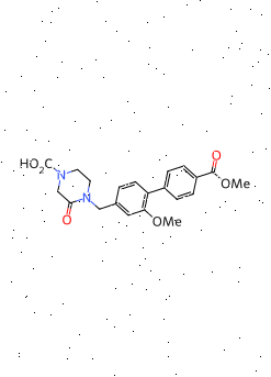 COC(=O)c1ccc(-c2ccc(CN3CCN(C(=O)O)CC3=O)cc2OC)cc1